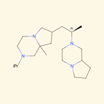 CC(C)N1CCN2CC(C[C@@H](C)N3CCN4CCCC4C3)CC2(C)C1